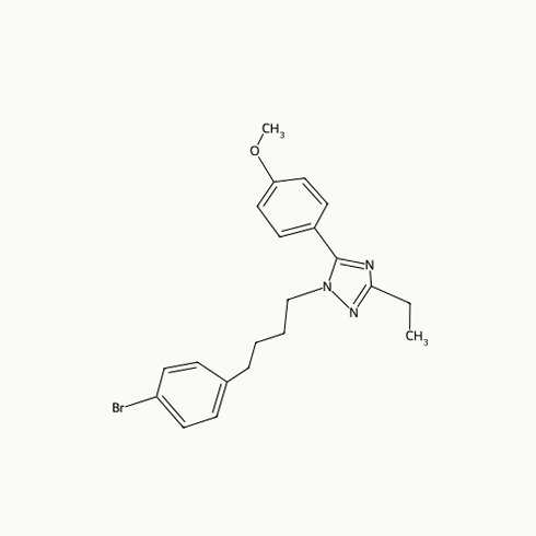 CCc1nc(-c2ccc(OC)cc2)n(CCCCc2ccc(Br)cc2)n1